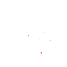 COC(=O)C[C@@H]1C[C@@H]2[C@H]([C@@H](O)C[C@@]3(C)[C@H]2CC[C@@]32OCOC23COCO3)[C@@]2(C)CCC(=O)C=C12